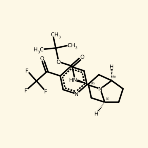 CC(C)(C)OC(=O)N[C@H]1C[C@H]2CC[C@@H](C1)N2c1ccc(C(=O)C(F)(F)F)cn1